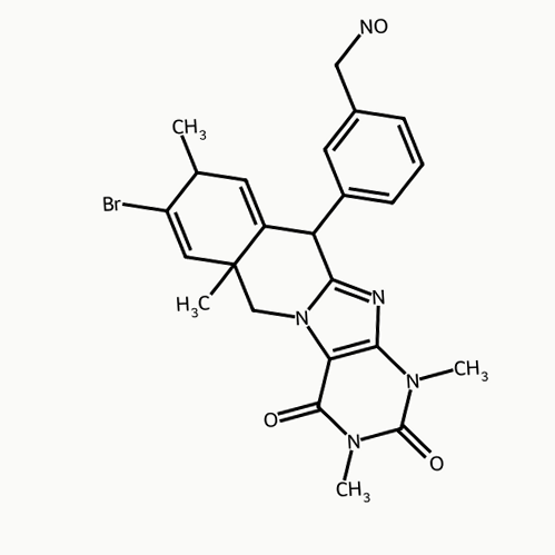 CC1C=C2C(c3cccc(CN=O)c3)c3nc4c(c(=O)n(C)c(=O)n4C)n3CC2(C)C=C1Br